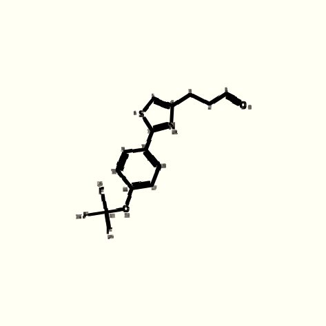 O=CCCc1csc(-c2ccc(OC(F)(F)F)cc2)n1